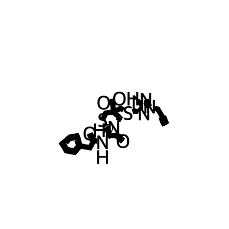 C#CCn1nnc(SCC2(C(=O)O)CS[C@@H]3C(NC(=O)Cc4ccccc4)C(=O)N3C2)n1